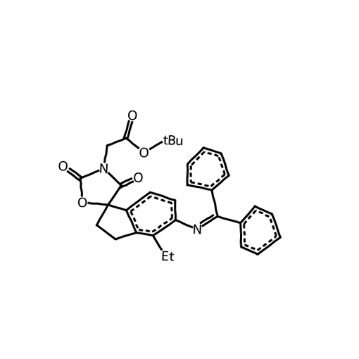 CCc1c(N=C(c2ccccc2)c2ccccc2)ccc2c1CCC21OC(=O)N(CC(=O)OC(C)(C)C)C1=O